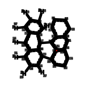 [2H]c1c([2H])c([2H])c2c(-c3cccc4ccccc34)c3c(-c4ccccc4)c([2H])c([2H])c([2H])c3c([2H])c2c1[2H]